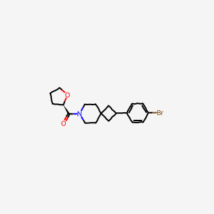 O=C([C@H]1CCCO1)N1CCC2(CC1)CC(c1ccc(Br)cc1)C2